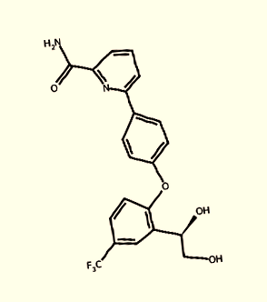 NC(=O)c1cccc(-c2ccc(Oc3ccc(C(F)(F)F)cc3[C@@H](O)CO)cc2)n1